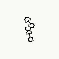 C=Cc1nc(-c2cccnc2)sc1-c1cccc(-c2ncccn2)n1